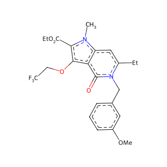 CCOC(=O)c1c(OCC(F)(F)F)c2c(=O)n(Cc3cccc(OC)c3)c(CC)cc2n1C